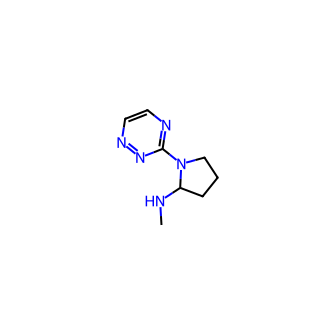 CNC1CCCN1c1nccnn1